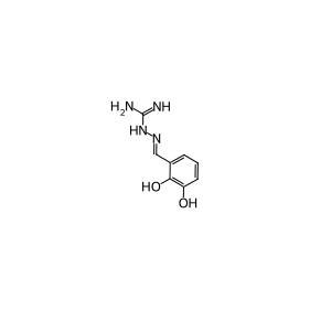 N=C(N)NN=Cc1cccc(O)c1O